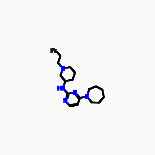 CC(C)CCN1CCCC(Nc2nccc(N3CCCCCC3)n2)C1